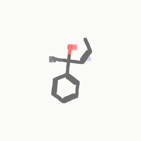 C/C=C\C(O)(c1ccccc1)C(C)C